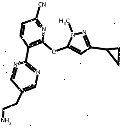 Cn1nc(C2CC2)cc1Oc1nc(C#N)ccc1-c1ncc(CCN)cn1